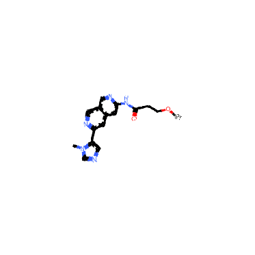 CC(C)OCCC(=O)Nc1cc2cc(-c3cncn3C)ncc2cn1